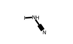 N#CNI